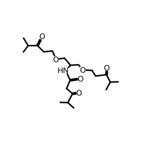 CC(C)C(=O)CCOCC(COCCC(=O)C(C)C)NC(=O)CC(=O)C(C)C